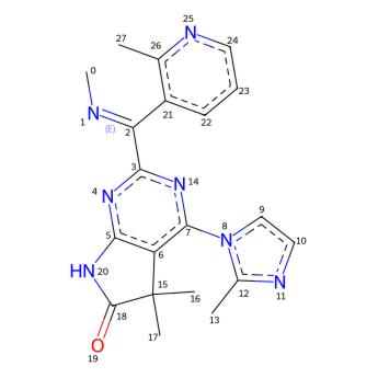 C/N=C(/c1nc2c(c(-n3ccnc3C)n1)C(C)(C)C(=O)N2)c1cccnc1C